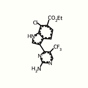 CCOC(=O)c1ccc2c(-c3nc(N)ncc3C(F)(F)F)c[nH]c2c1Cl